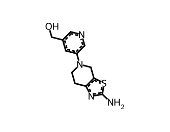 Nc1nc2c(s1)CN(c1cncc(CO)c1)CC2